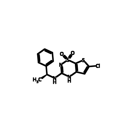 C[C@H](NC1=NS(=O)(=O)c2sc(Cl)cc2N1)c1ccccc1